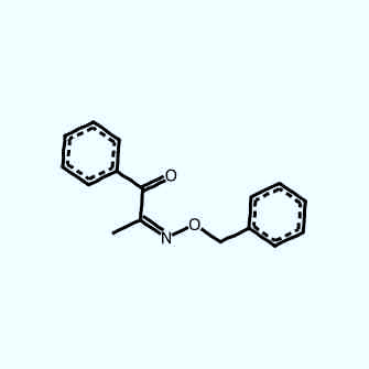 CC(=NOCc1ccccc1)C(=O)c1ccccc1